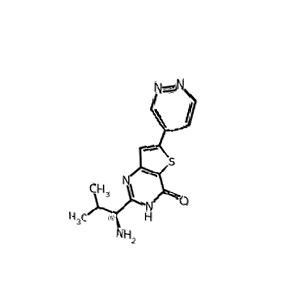 CC(C)[C@H](N)c1nc2cc(-c3ccnnc3)sc2c(=O)[nH]1